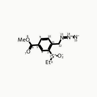 CC[S+]([O-])c1cc(C(=O)OC)ccc1CN=[N+]=[N-]